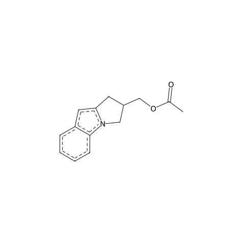 CC(=O)OCC1Cc2cc3ccccc3n2C1